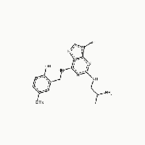 COc1ccc(O)c(CNc2nc(NCC(C)N)nc3c2ncn3C(C)C)c1